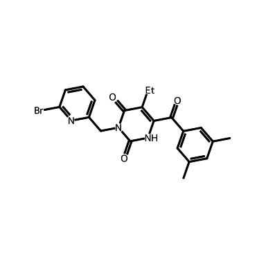 CCc1c(C(=O)c2cc(C)cc(C)c2)[nH]c(=O)n(Cc2cccc(Br)n2)c1=O